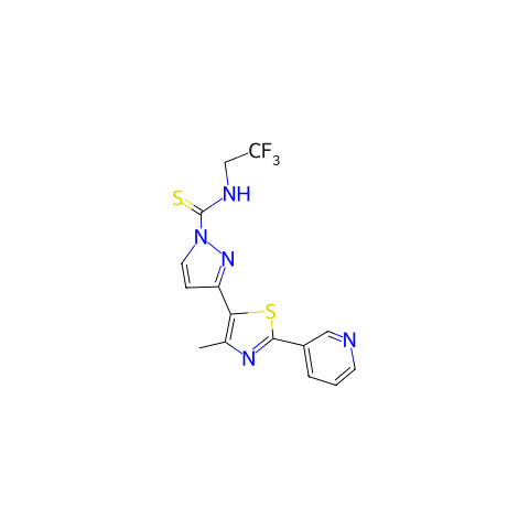 Cc1nc(-c2cccnc2)sc1-c1ccn(C(=S)NCC(F)(F)F)n1